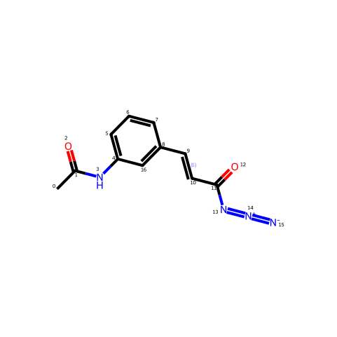 CC(=O)Nc1cccc(/C=C/C(=O)N=[N+]=[N-])c1